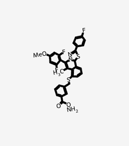 COc1cc(F)c(C2=C(C)c3c(SCc4cccc(C(=O)ON)c4)cccc3C3SC(c4ccc(F)cc4)=NN23)c(F)c1